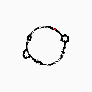 c1cc2cc(c1)-c1ccc(cn1)OCCCc1ccc(nc1)-c1cccc(n1)-c1ccc(cn1)CCCOc1ccc-2nc1